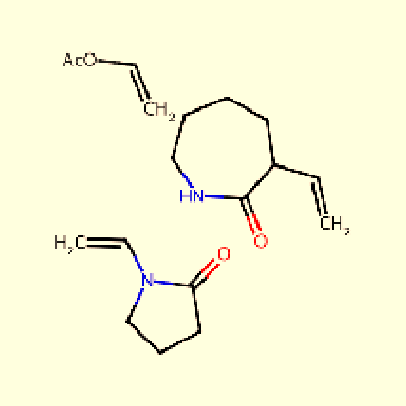 C=CC1CCCCNC1=O.C=CN1CCCC1=O.C=COC(C)=O